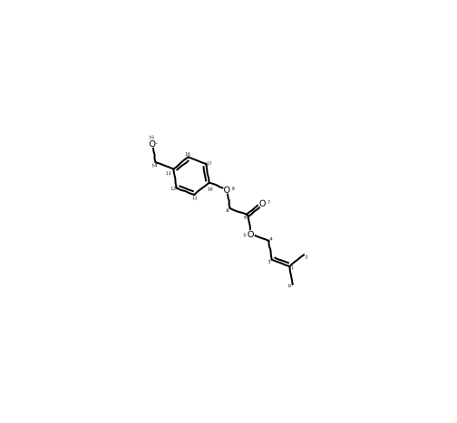 CC(C)=CCOC(=O)COc1ccc(C[O])cc1